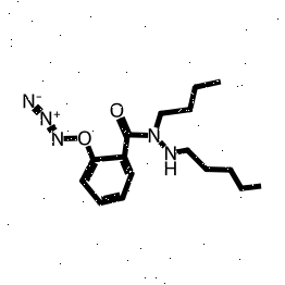 CCCCCNN(CCCC)C(=O)c1ccccc1ON=[N+]=[N-]